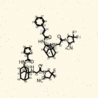 N#C[C@@H]1CC(F)(F)CN1C(=O)CNC12CC3CC(C1)CC(NC(=O)/C=C/c1ccccc1)(C3)C2.N#C[C@@H]1CC(F)(F)CN1C(=O)CNC12CC3CC(C1)CC(NC(=O)c1cccs1)(C3)C2